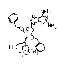 CC[Si](C#C[C@]1(COCc2ccccc2)O[C@@H](n2cnc3c(N)nc(N)nc32)C[C@@H]1OCc1ccccc1)(CC)CC